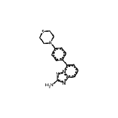 Nc1nc2cccc(-c3ccc(N4CCSCC4)cc3)n2n1